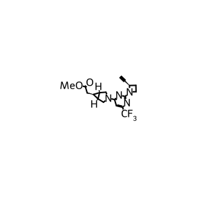 C#C[C@H]1CCN1c1nc(N2C[C@@H]3[C@@H](CC(=O)OC)[C@@H]3C2)cc(C(F)(F)F)n1